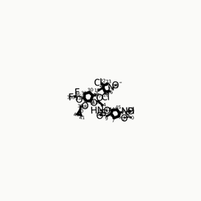 CS(=O)(=O)Nc1ccc(CS(=O)(=O)NCC(=O)O[C@@H](Cc2c(Cl)c[n+]([O-])cc2Cl)c2ccc(OC(F)F)c(OCC3CC3)c2)cc1